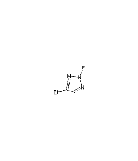 CCc1cnn(F)n1